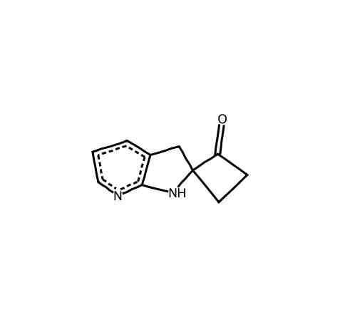 O=C1CCC12Cc1cccnc1N2